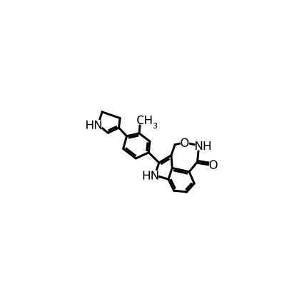 Cc1cc(-c2[nH]c3cccc4c3c2CONC4=O)ccc1C1=CNCC1